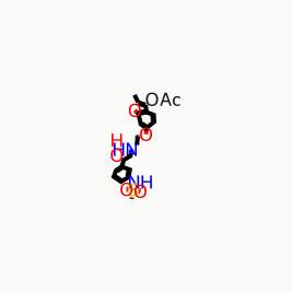 CC(=O)Oc1c(C)oc2cc(OCCNC[C@H](O)c3cccc(NS(C)(=O)=O)c3)ccc12